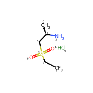 C[C@@H](N)CS(=O)(=O)CC(F)(F)F.Cl